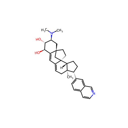 CN(C)[C@H]1C[C@@]23CC[C@@]4(C2)C(=CC[C@]2(C)[C@@H](c5ccc6ccncc6c5)CC[C@@H]42)C=C3[C@@H](O)[C@@H]1O